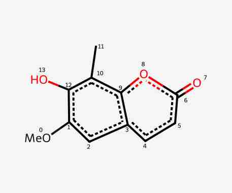 COc1cc2ccc(=O)oc2c(C)c1O